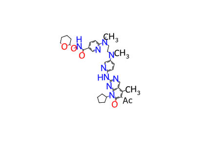 CC(=O)c1c(C)c2cnc(Nc3ccc(N(C)CCN(C)c4ccc(C(=O)NOC5CCCCO5)cn4)cn3)nc2n(C2CCCC2)c1=O